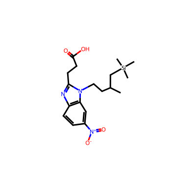 CC(CCn1c(CCC(=O)O)nc2ccc([N+](=O)[O-])cc21)C[Si](C)(C)C